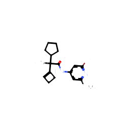 COc1cc(NC(=O)C(N=O)(C2=CCC2)C2CCCC2)cc(Br)n1